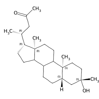 CC(=O)C[C@@H](C)[C@H]1CCC2C3CC[C@H]4C[C@@](C)(O)CC[C@]4(C)C3CC[C@@]21C